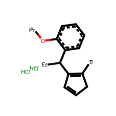 CCC(C1=[C]([Ti])CC=C1)c1ccccc1OC(C)C.Cl.Cl